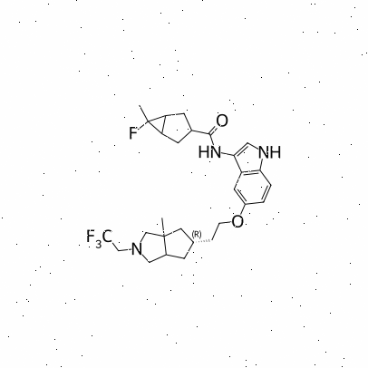 CC12C[C@H](CCOc3ccc4[nH]cc(NC(=O)C5CC6C(C5)C6(C)F)c4c3)CC1CN(CC(F)(F)F)C2